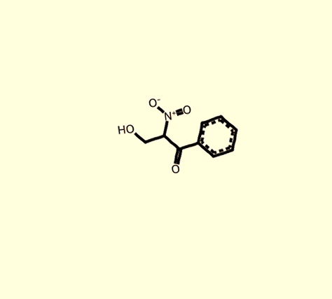 O=C(c1ccccc1)C(CO)[N+](=O)[O-]